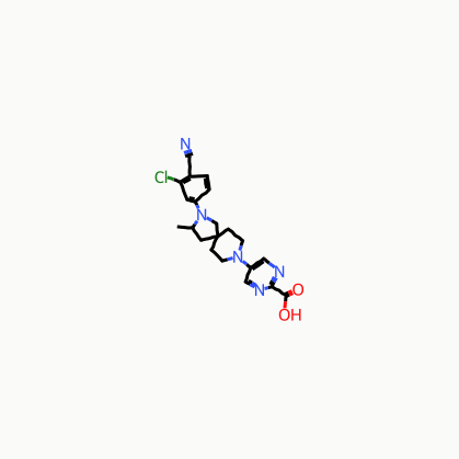 CC1CC2(CCN(c3cnc(C(=O)O)nc3)CC2)CN1c1ccc(C#N)c(Cl)c1